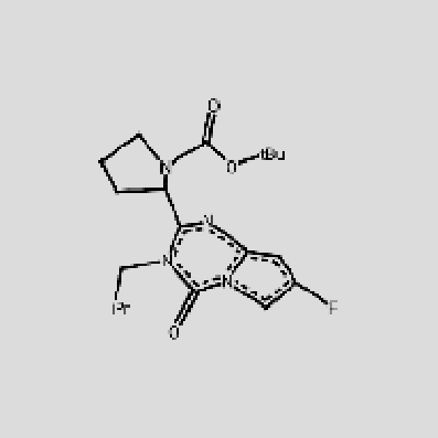 CC(C)Cn1c(C2CCCN2C(=O)OC(C)(C)C)nc2cc(F)cn2c1=O